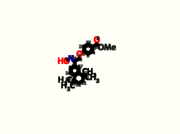 COC(=O)c1ccc(OC/C(=N/O)c2ccc3c(c2)C(C)(C)CCC3(C)C)cc1